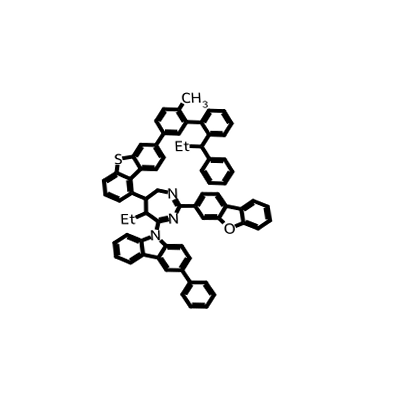 CCC(c1ccccc1)c1ccccc1-c1cc(-c2ccc3c(c2)sc2cccc(C4CN=C(c5ccc6c(c5)oc5ccccc56)N=C(n5c6ccccc6c6cc(-c7ccccc7)ccc65)C4CC)c23)ccc1C